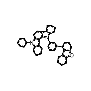 c1ccc(-n2c3ccccc3c3c2ccc2c4ccccc4n(-c4cccc(-c5cccc6oc7ccccc7c56)c4)c23)cc1